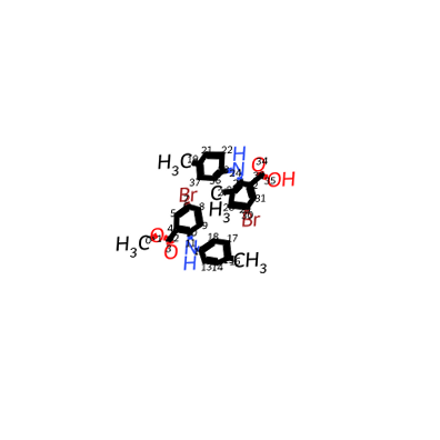 COC(=O)c1cc(Br)ccc1Nc1ccc(C)cc1.Cc1ccc(Nc2c(C)cc(Br)cc2C(=O)O)cc1